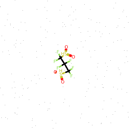 O=[SH](=O)C(F)(F)C(F)(F)C(F)(F)[SH](=O)=O